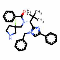 CC(C)(C)[C@H](c1nc(-c2ccccc2)cn1Cc1ccccc1)N(C[C@@]1(F)CCNC1)C(=O)c1ccccc1